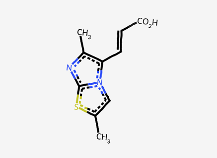 Cc1cn2c(/C=C/C(=O)O)c(C)nc2s1